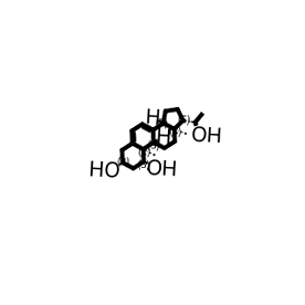 CC(O)[C@H]1CC[C@H]2C3=CC=C4C[C@@H](O)C[C@H](O)[C@]4(C)[C@H]3CC[C@]12C